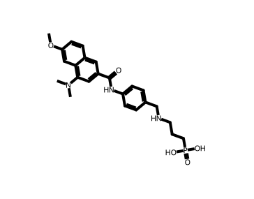 COc1ccc2cc(C(=O)Nc3ccc(CNCCCP(=O)(O)O)cc3)cc(N(C)C)c2c1